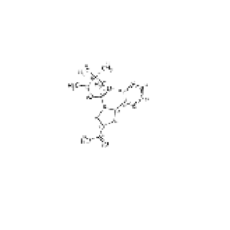 CC(OC(=O)C1CN(C(=O)O)CC1c1ccccc1)C(C)(C)C